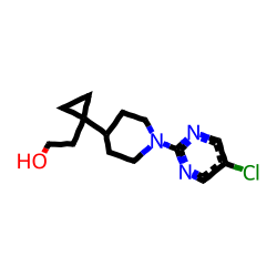 OCCC1(C2CCN(c3ncc(Cl)cn3)CC2)CC1